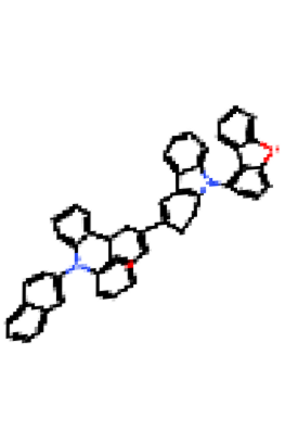 C1=CC(c2ccccc2N(c2ccccc2)c2ccc3ccccc3c2)CC(C2=Cc3c(n(-c4cccc5oc6ccccc6c45)c4ccccc34)CC2)=C1